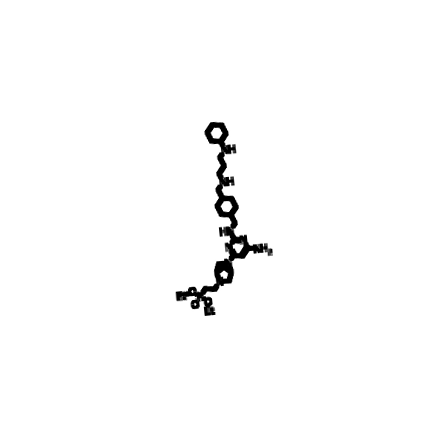 CCOP(=O)(CCN1CC2CC1CN2c1cc(N)nc(NCC2CCC(CNCCCNC3CCCCC3)CC2)n1)OCC